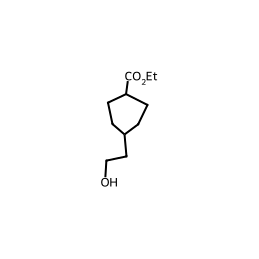 CCOC(=O)C1CCC(CCO)CC1